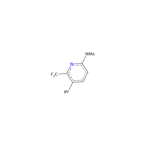 CNc1ccc(C(C)C)c(C(F)(F)F)n1